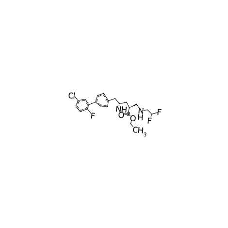 CCOC(=O)[C@H](CNCC(F)F)C[C@H](N)Cc1ccc(-c2cc(Cl)ccc2F)cc1